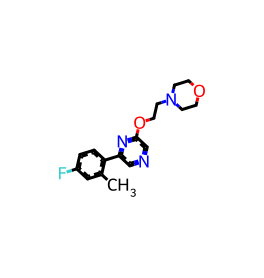 Cc1cc(F)ccc1-c1cncc(OCCN2CCOCC2)n1